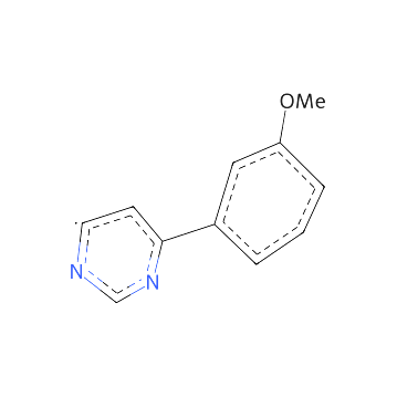 COc1cccc(-c2c[c]ncn2)c1